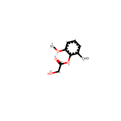 CCOc1cccc(C=O)c1OC(=O)CO